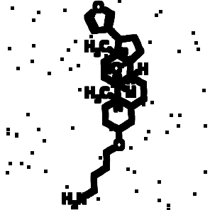 C[C@]12CCC(OCCCCN)CC1CC[C@@H]1[C@H]2CC[C@]2(C)C(c3ccoc3)CC[C@@]12O